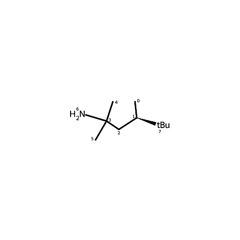 C[C@H](CC(C)(C)N)C(C)(C)C